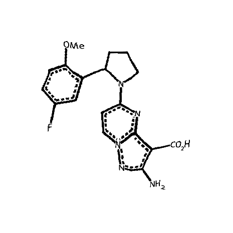 COc1ccc(F)cc1C1CCCN1c1ccn2nc(N)c(C(=O)O)c2n1